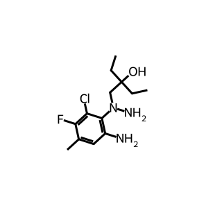 CCC(O)(CC)CN(N)c1c(N)cc(C)c(F)c1Cl